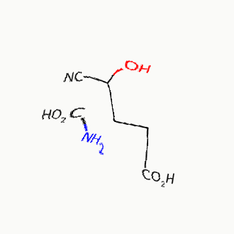 N#CC(O)CCC(=O)O.NC(=O)O